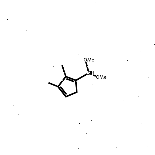 CO[SiH](OC)C1=C(C)C(C)=CC1